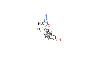 C[C@H](CCC(=O)N1CCNC[C@H]1C)[C@H]1CC[C@H]2[C@@H]3CC=C4C[C@@H](O)CC[C@]4(C)[C@H]3CC[C@]12C